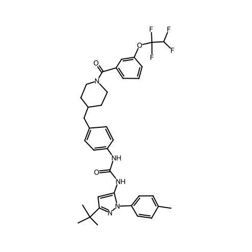 Cc1ccc(-n2nc(C(C)(C)C)cc2NC(=O)Nc2ccc(CC3CCN(C(=O)c4cccc(OC(F)(F)C(F)F)c4)CC3)cc2)cc1